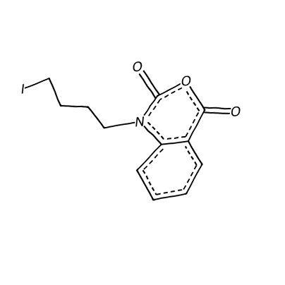 O=c1oc(=O)n(CCCCI)c2ccccc12